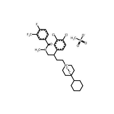 CN(CC(CC[N+]12CCC(C3CCCCC3)(CC1)CC2)c1ccc(Cl)c(Cl)c1)C(=O)c1ccc(F)c(C(F)(F)F)c1.CS(=O)(=O)[O-]